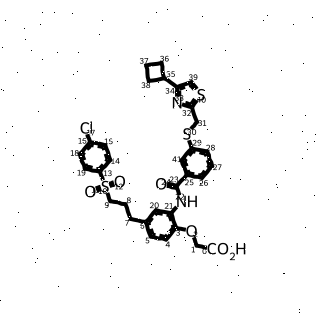 O=C(O)COc1ccc(CCCS(=O)(=O)c2ccc(Cl)cc2)cc1NC(=O)c1cccc(SCc2nc(C3CCC3)cs2)c1